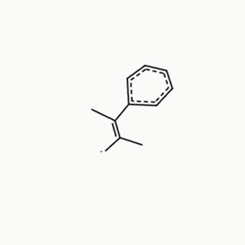 [CH2]C(C)=C(C)c1ccccc1